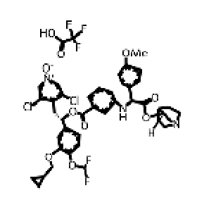 COc1ccc(C(Nc2cccc(C(=O)O[C@@H](Cc3c(Cl)c[n+]([O-])cc3Cl)c3ccc(OC(F)F)c(OCC4CC4)c3)c2)C(=O)O[C@H]2CN3CCC2CC3)cc1.O=C(O)C(F)(F)F